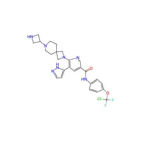 O=C(Nc1ccc(OC(F)(F)Cl)cc1)c1cnc(N2CC3(CCN(C4CNC4)CC3)C2)c(-c2ccn[nH]2)c1